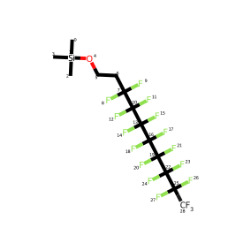 C[Si](C)(C)OCCC(F)(F)C(F)(F)C(F)(F)C(F)(F)C(F)(F)C(F)(F)C(F)(F)C(F)(F)F